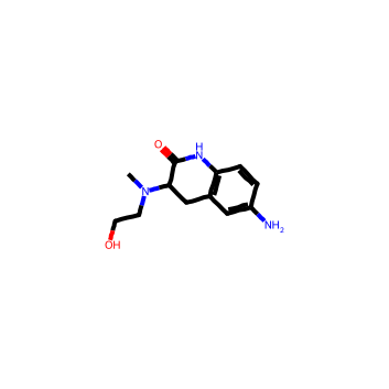 CN(CCO)C1Cc2cc(N)ccc2NC1=O